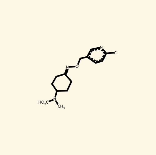 CN(C(=O)O)C1CCC(=NOCc2ccc(Cl)nc2)CC1